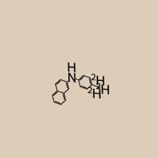 [2H]C([2H])([2H])c1ccc(Nc2ccc3ccccc3c2)cc1